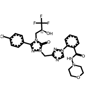 O=C(NN1CCOCC1)c1ccccc1-n1cnc(Cn2nc(-c3ccc(Cl)cc3)n(C[C@H](O)C(F)(F)F)c2=O)n1